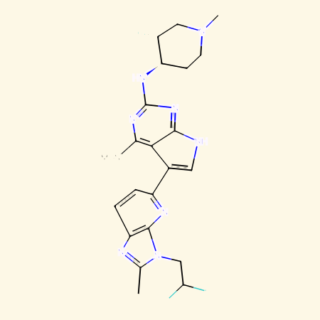 CNc1nc(N[C@@H]2CCN(C)C[C@H]2F)nc2[nH]cc(-c3ccc4nc(C)n(CC(F)F)c4n3)c12